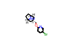 Brc1ccc(OC[C@@H]2C[C@H]3CC[C@@H](C2)N3)nc1